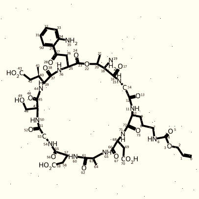 C=CCOC(=O)NCCCC1NC(=O)CNC(=O)C(N)C(C)OC(=O)C(CC(=O)c2ccccc2N)NC(=O)[C@@H]([C@H](C)CC(=O)O)NC(=O)C(CO)NC(=O)CNC(=O)C(CC(=O)O)NC(=O)C(C)NC(=O)C(CC(=O)O)NC1=O